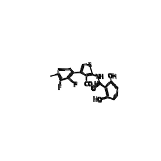 Cc1ccc(-c2csc(NC(=O)c3c(O)cccc3O)c2C(=O)O)c(F)c1F